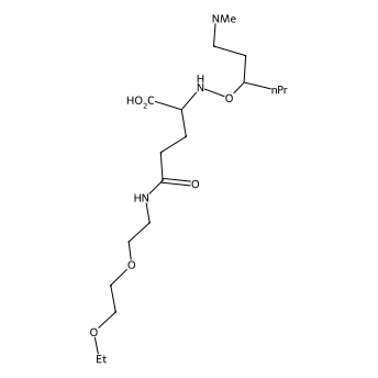 CCCC(CCNC)ONC(CCC(=O)NCCOCCOCC)C(=O)O